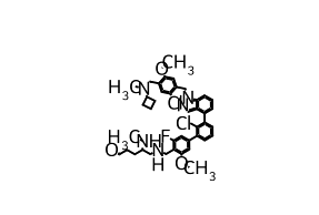 CNC(CCC=O)CNCc1c(F)cc(-c2cccc(-c3cccc4c3cnn4Cc3cc(OC)c(CN(C)C4CCC4)cc3Cl)c2Cl)cc1OC